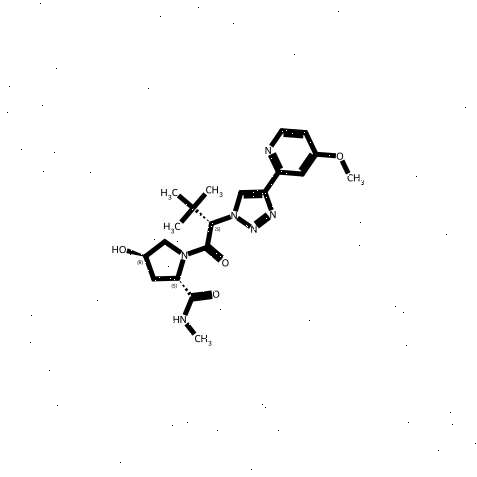 CNC(=O)[C@@H]1C[C@@H](O)CN1C(=O)[C@@H](n1cc(-c2cc(OC)ccn2)nn1)C(C)(C)C